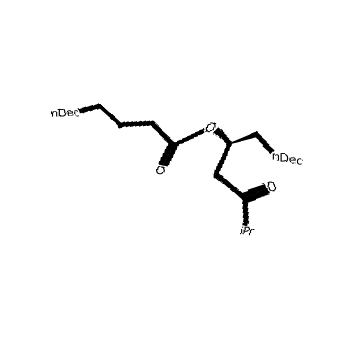 CCCCCCCCCCCCCC(=O)O[C@@H](CCCCCCCCCCC)CC(=O)C(C)C